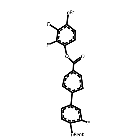 CCCCCc1ccc(-c2ccc(C(=O)Oc3ccc(CCC)c(F)c3F)cc2)cc1F